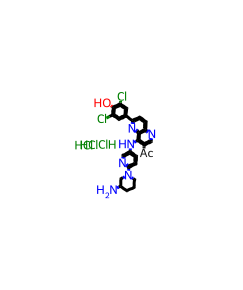 CC(=O)c1cnc2ccc(-c3cc(Cl)c(O)c(Cl)c3)nc2c1Nc1ccc(N2CCCC(N)C2)nc1.Cl.Cl.Cl